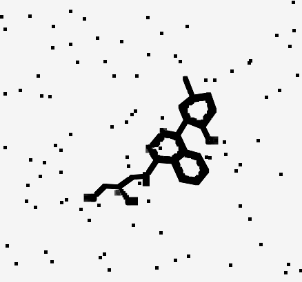 Cc1ccc(O)c(-c2nnc(NC[C@H](O)CO)c3ccccc23)c1